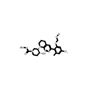 CCOCOc1cc(C(F)(F)F)cc(C)c1-c1cc2c(nn1)N([C@H]1CN(C(=O)OC(C)(C)C)CC[C@H]1O)CCC2